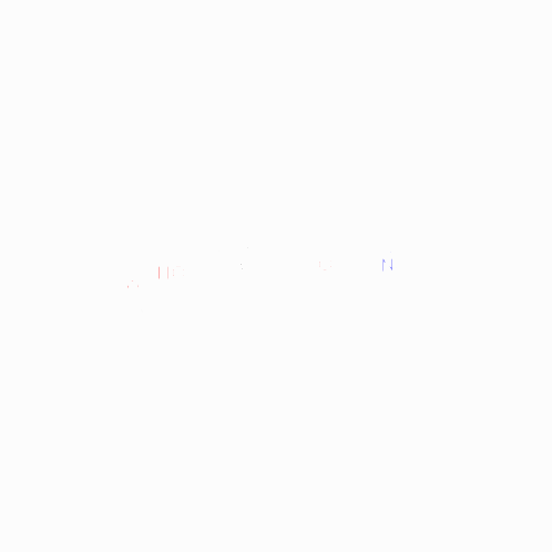 OC1(Cc2ccoc2)CCC2(CCC(COCCN3CCCC3)CC2)CC1